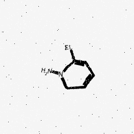 CCC1=CC=CCN1N